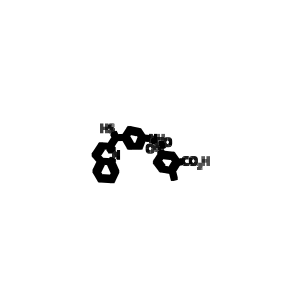 Cc1ccc(S(=O)(=O)Nc2ccc(C(S)c3ccc4ccccc4n3)cc2)cc1C(=O)O